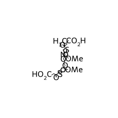 COc1cc2sc(C(=O)CCC(=O)O)cc2cc1OCCOc1nc2cc(C(=O)CC(C)C(=O)O)sc2cc1OC